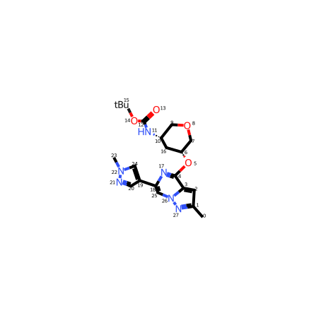 Cc1cc2c(O[C@H]3COC[C@@H](NC(=O)OC(C)(C)C)C3)nc(-c3cnn(C)c3)cn2n1